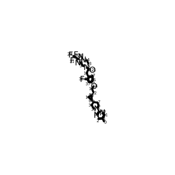 Cc1cnc(N2CCC([C@H]3C[C@H]3CCOc3ccc(CC(=O)N4CCn5nc(C(F)(F)F)nc5C4)c(F)c3)CC2)nc1